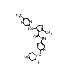 Cc1nsc(Nc2cnc(C(F)(F)F)cn2)c1C(=O)Nc1ccc(O[C@H]2CCNC[C@H]2F)nc1